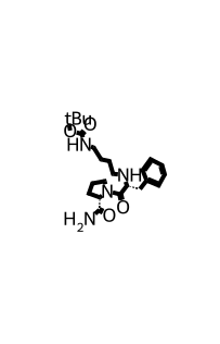 CC(C)(C)OC(=O)NCCCCN[C@H](Cc1ccccc1)C(=O)N1CCC[C@H]1C(N)=O